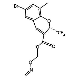 C=NOCOC(=O)C1=Cc2cc(Br)cc(C)c2O[C@@H]1C(F)(F)F